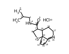 CC(C)CNC(=O)C1CSC23C=CC=CC2=NCCC13.Cl